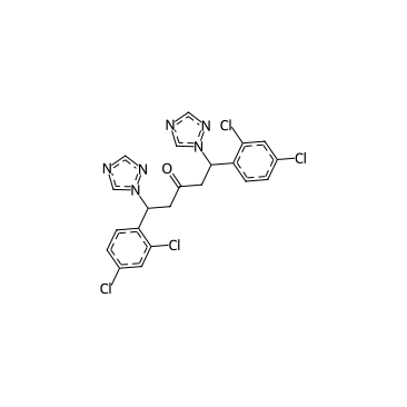 O=C(CC(c1ccc(Cl)cc1Cl)n1cncn1)CC(c1ccc(Cl)cc1Cl)n1cncn1